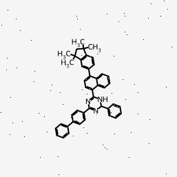 CC1(C)CC(C)(C)c2cc(-c3ccc(C4=NC(c5ccc(-c6ccccc6)cc5)=NC(c5ccccc5)N4)c4ccccc34)ccc21